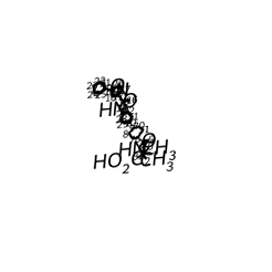 CC(C)(NC(=O)[C@H]1CC[C@H](c2ccc(NC(=O)c3cc(-c4ccccc4)on3)cc2)CC1)C(=O)O